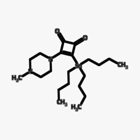 CCC[CH2][Sn]([CH2]CCC)([CH2]CCC)[c]1c(N2CCN(C)CC2)c(=O)c1=O